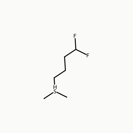 C[SH](C)CCCC(F)F